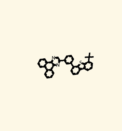 CC(C)(C)c1cccc2c1sc1c(-c3cccc(-c4cnc5c6ccccc6c6ccccc6c5n4)c3)cccc12